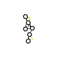 N#Cc1ccccc1-c1c(-c2ccc3c(c2)sc2ccccc23)cccc1-c1ccc2c(c1)sc1ccccc12